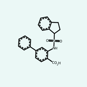 O=C(O)c1ccc(-c2ccccc2)cc1NS(=O)(=O)C1CCc2ccccc21